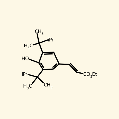 CCOC(=O)/C=C/c1cc(C(C)(C)C(C)C)c(O)c(C(C)(C)C(C)C)c1